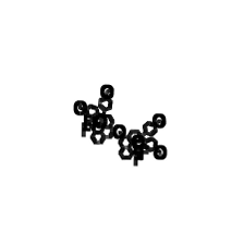 COc1ccc(C2(c3ccc(OC)cc3)C=Cc3c(Oc4cc5cccc(C(F)(F)F)c5c5c4C=CC(c4ccc(OC)cc4)(c4ccc(OC)cc4)O5)cc4cccc(C(F)(F)F)c4c3O2)cc1